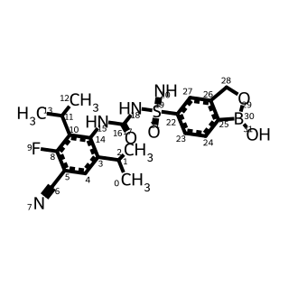 CC(C)c1cc(C#N)c(F)c(C(C)C)c1NC(=O)NS(=N)(=O)c1ccc2c(c1)COB2O